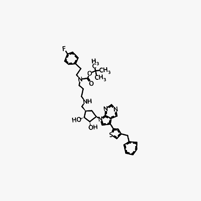 CC(C)(C)OC(=O)N(CCCNC[C@H]1C[C@@H](n2cc(-c3cc(Cc4ccccc4)cs3)c3cncnc32)[C@H](O)[C@@H]1O)CCc1ccc(F)cc1